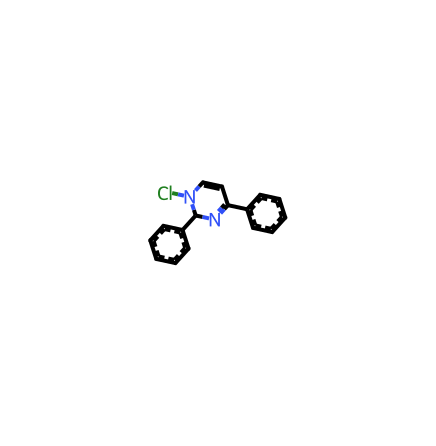 ClN1C=CC(c2ccccc2)=NC1c1ccccc1